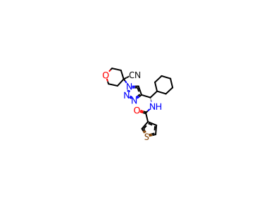 N#CC1(n2cc([C@@H](NC(=O)c3ccsc3)C3CCCCC3)nn2)CCOCC1